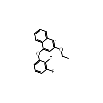 CCOc1[c]c2ccccc2c(Oc2cccc(F)c2F)c1